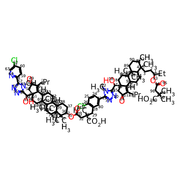 CC[C@H](CC[C@]1(C)C2CC[C@@H]3C4=C(C(C)C)C(=O)C[C@]4(C(O)c4nnc(-c5ccc(Cl)c(CC(C)(CC(=O)O[C@H]6CC[C@]7(C)[C@H]8CC[C@@H]9C%10=C(C(C)C)C(=O)C[C@]%10([C@@H](O)c%10nnc(-c%11ccc(Cl)cn%11)n%10C)CC[C@@]9(C)[C@]8(C)CC[C@H]7C6(C)C)C(=O)O)c5)n4C)CC[C@@]3(C)[C@]2(C)CC[C@H]1C)OC(=O)CC(C)(C)C(=O)O